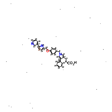 O=C(O)CCc1cn(Cc2ccc(OCc3csc(-c4cccnc4)n3)cc2)cc1-c1ccccc1